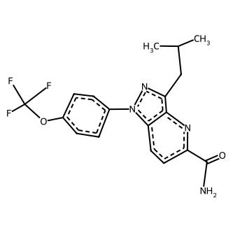 CC(C)Cc1nn(-c2ccc(OC(F)(F)F)cc2)c2ccc(C(N)=O)nc12